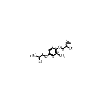 CCCCC(CC)COc1ccc(OCC(CC)CCCC)c(C)c1